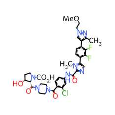 COCCn1cc(-c2ccc(-c3cnc(C(=O)Nc4ccc(C(=O)N5CCN(C(=O)[C@@H]6[C@@H](O)CCN6C(=O)O)CC5)c(Cl)c4)n3C)c(F)c2F)c(C)n1